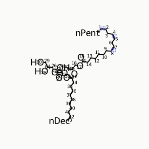 CCCCC/C=C\C/C=C\C/C=C\CCCCCCC(=O)OC[C@H](COP(=O)(O)OC[C@@H](O)CO)OC(=O)CCCCCCCCCCCCCCCCCCC